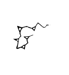 CCC1CC1CC1CC1CC1CC1CC1CC1CC1CC1CCCN